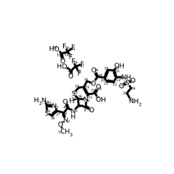 CON=C(C(=O)NC1C(=O)N2C(C(=O)O)=C(COC(=O)c3ccc(NS(=O)(=O)CCN)c(O)c3)CS[C@@H]12)c1csc(N)n1.O=C(O)C(F)(F)F.O=C(O)C(F)(F)F